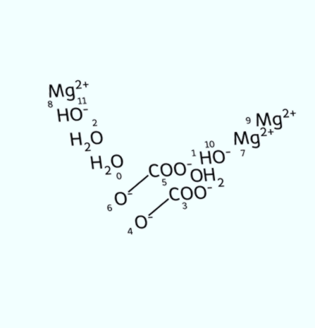 O.O.O.O=C([O-])[O-].O=C([O-])[O-].[Mg+2].[Mg+2].[Mg+2].[OH-].[OH-]